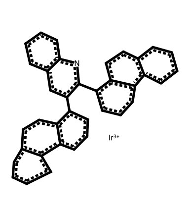 [Ir+3].c1ccc2nc(-c3cccc4c3ccc3ccccc34)c(-c3cccc4c3ccc3ccccc34)cc2c1